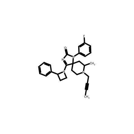 CC#CCN1CCC2(CC1C)C(N1CCC1c1ccccc1)=NC(=O)N2c1cccc(F)c1